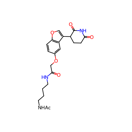 CC(=O)NCCCCNC(=O)COc1ccc2occ(C3CCC(=O)NC3=O)c2c1